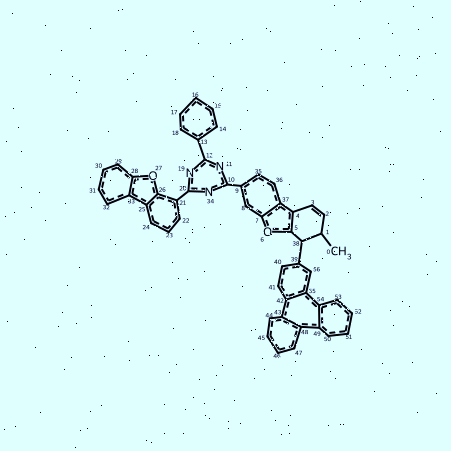 CC1C=Cc2c(oc3cc(-c4nc(-c5ccccc5)nc(-c5cccc6c5oc5ccccc56)n4)ccc23)C1c1ccc2c3ccccc3c3ccccc3c2c1